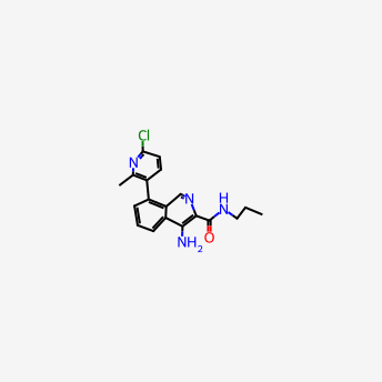 CCCNC(=O)c1ncc2c(-c3ccc(Cl)nc3C)cccc2c1N